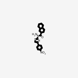 NN(C(=O)c1ccc2ccccc2c1)c1nc(-c2ccc([N+](=O)[O-])cc2)cs1